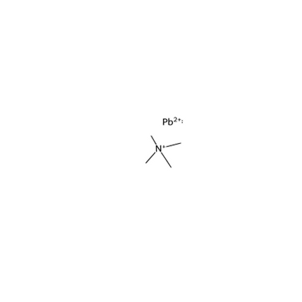 C[N+](C)(C)C.[Pb+2]